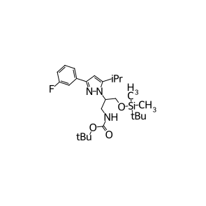 CC(C)c1cc(-c2cccc(F)c2)nn1C(CNC(=O)OC(C)(C)C)CO[Si](C)(C)C(C)(C)C